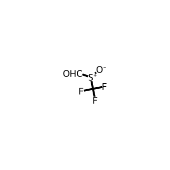 O=C[S+]([O-])C(F)(F)F